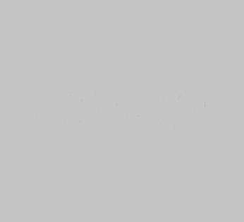 CC(C)(C)c1ccc(OC(=O)/C=C/C(=O)Oc2ccc(C(C)(C)C)cc2)cc1